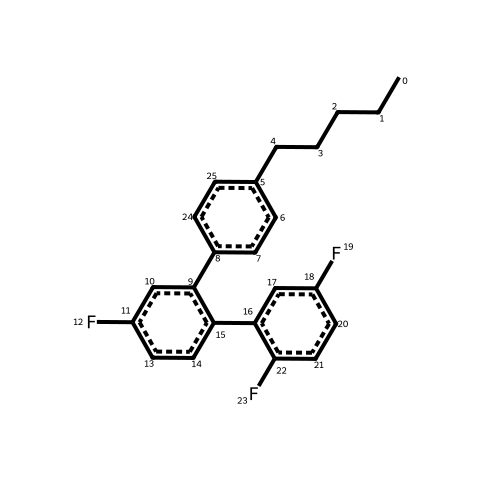 CCCCCc1ccc(-c2cc(F)ccc2-c2cc(F)ccc2F)cc1